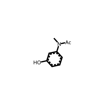 CC(=O)N(C)c1cccc(O)c1